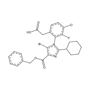 O=C(O)Cc1ccc(Cl)c(F)c1-n1c(C2CCCCC2)nc(C(=O)OCc2ccccc2)c1Br